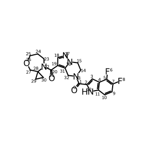 O=C(c1cc2c(F)c(F)ccc2[nH]1)N1CCn2ncc(C(=O)N3CCCOCC34CC4)c2C1